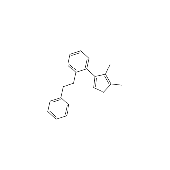 CC1=C(C)C(c2ccccc2CCc2ccccc2)=CC1